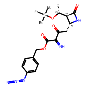 CC[Si](CC)(CC)O[C@H](C)[C@H]1C(=O)N[C@@H]1CC(=O)C(=N)C(=O)OCc1ccc(N=[N+]=[N-])cc1